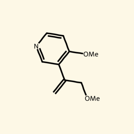 C=C(COC)c1cnccc1OC